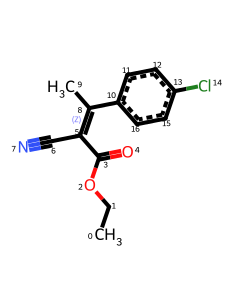 CCOC(=O)/C(C#N)=C(/C)c1ccc(Cl)cc1